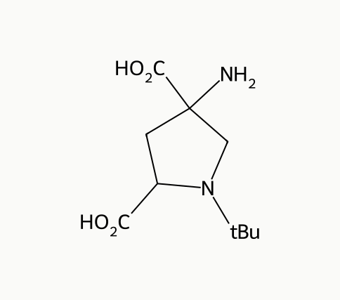 CC(C)(C)N1CC(N)(C(=O)O)CC1C(=O)O